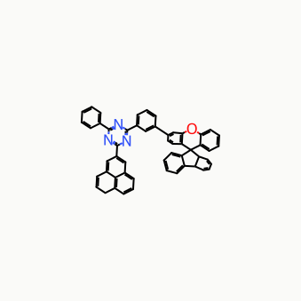 C1=CC2c3ccccc3C3(c4ccccc4Oc4cc(-c5cccc(-c6nc(-c7ccccc7)nc(-c7cc8c9c(cccc9c7)CC=C8)n6)c5)ccc43)C2C=C1